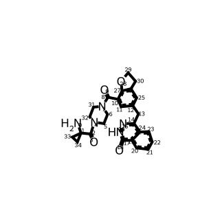 NC1(C(=O)N2CCN(C(=O)c3cc(Cc4n[nH]c(=O)c5ccccc45)cc4c3OCC4)CC2)CC1